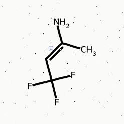 C/C(N)=C\C(F)(F)F